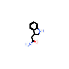 NC(=O)CC1CNc2ccccc21